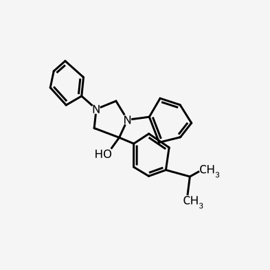 CC(C)c1ccc(C2(O)CN(c3ccccc3)CN2c2ccccc2)cc1